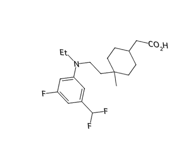 CCN(CCC1(C)CCC(CC(=O)O)CC1)c1cc(F)cc(C(F)F)c1